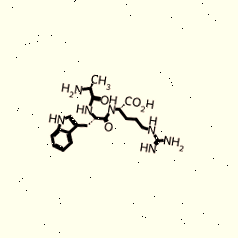 C[C@H](N)C(=O)N[C@@H](Cc1c[nH]c2ccccc12)C(=O)N[C@@H](CCCNC(=N)N)C(=O)O